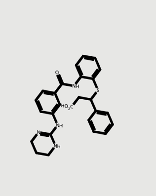 O=C(O)CC(Sc1ccccc1NC(=O)c1cccc(NC2=NCCCN2)c1)c1ccccc1